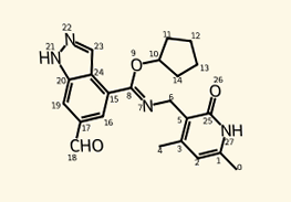 Cc1cc(C)c(CN=C(OC2CCCC2)c2cc(C=O)cc3[nH]ncc23)c(=O)[nH]1